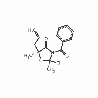 C=CC[C@]1(C)OC(C)(C)N(C(=O)c2ccccc2)C1=O